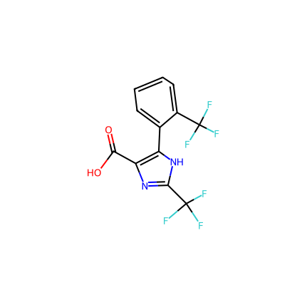 O=C(O)c1nc(C(F)(F)F)[nH]c1-c1ccccc1C(F)(F)F